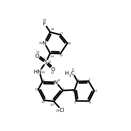 Cc1ccccc1-c1nc(NS(=O)(=O)c2cccc(F)n2)ccc1Cl